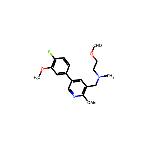 COc1ncc(-c2ccc(F)c(OC(F)(F)F)c2)cc1CN(C)CCOC=O